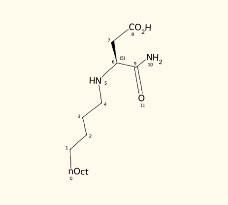 CCCCCCCCCCCCN[C@@H](CC(=O)O)C(N)=O